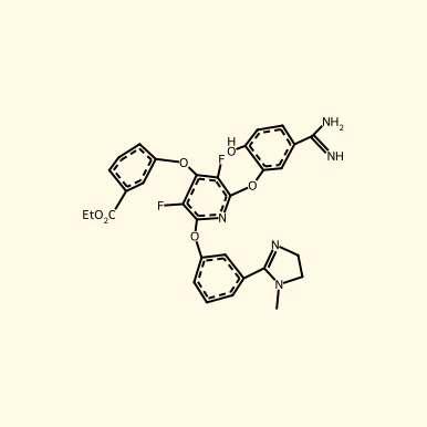 CCOC(=O)c1cccc(Oc2c(F)c(Oc3cccc(C4=NCCN4C)c3)nc(Oc3cc(C(=N)N)ccc3O)c2F)c1